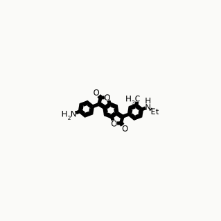 CCNc1ccc(C2=c3cc4c(cc3OC2=O)=C(c2ccc(N)cc2)C(=O)O4)cc1C